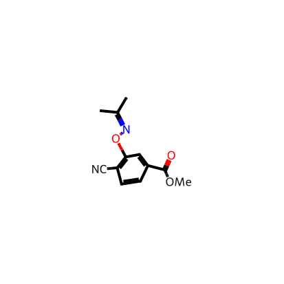 COC(=O)c1ccc(C#N)c(ON=C(C)C)c1